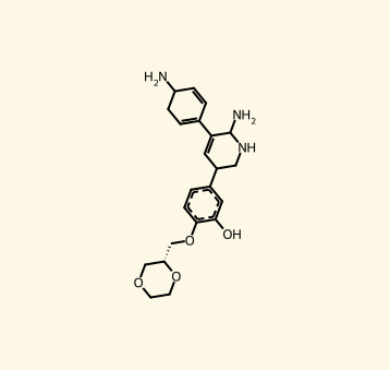 NC1C=CC(C2=CC(c3ccc(OC[C@H]4COCCO4)c(O)c3)CNC2N)=CC1